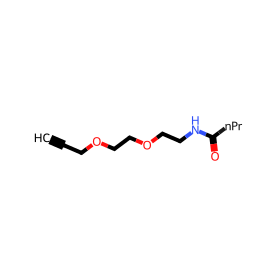 C#CCOCCOCCNC(=O)CCC